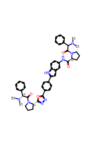 CCN(CC)C(C(=O)N1CCC[C@H]1C(=O)Nc1ccc2[nH]c(-c3ccc(-c4nnc([C@@H]5CCCN5C(=O)[C@@H](c5ccccc5)N(CC)CC)o4)cc3)cc2c1)c1ccccc1